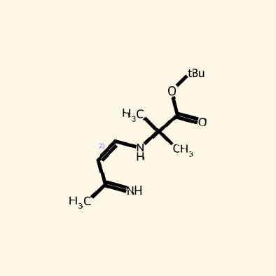 CC(=N)/C=C\NC(C)(C)C(=O)OC(C)(C)C